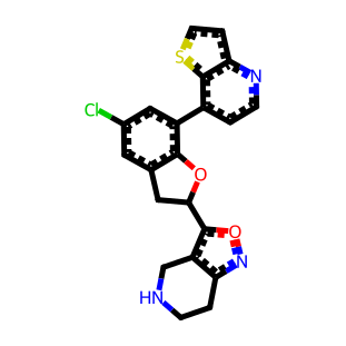 Clc1cc2c(c(-c3ccnc4ccsc34)c1)OC(c1onc3c1CNCC3)C2